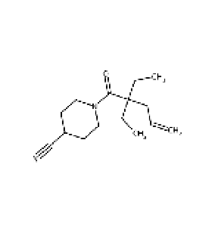 C=CCC(CC)(CC)C(=O)N1CCC(C#N)CC1